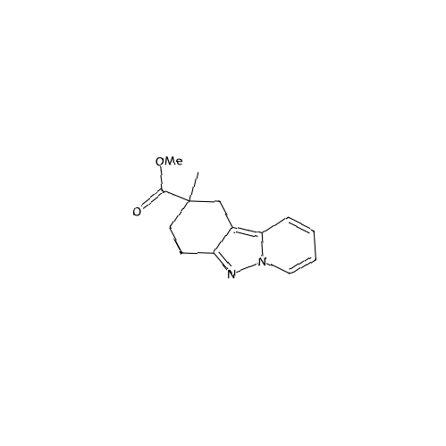 COC(=O)C1(C)CCc2nn3ccccc3c2C1